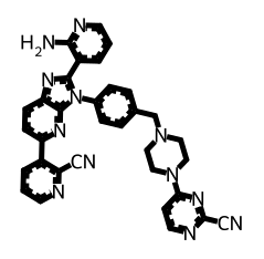 N#Cc1nccc(N2CCN(Cc3ccc(-n4c(-c5cccnc5N)nc5ccc(-c6cccnc6C#N)nc54)cc3)CC2)n1